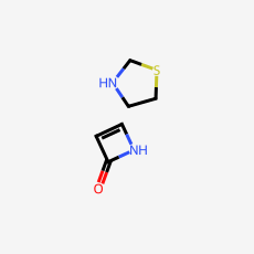 C1CSCN1.O=C1C=CN1